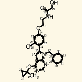 CC1(Oc2ncnc3c2nc(-c2ccc(OCCNC(=O)CO)cc2Cl)n3Cc2ccccc2)CC1